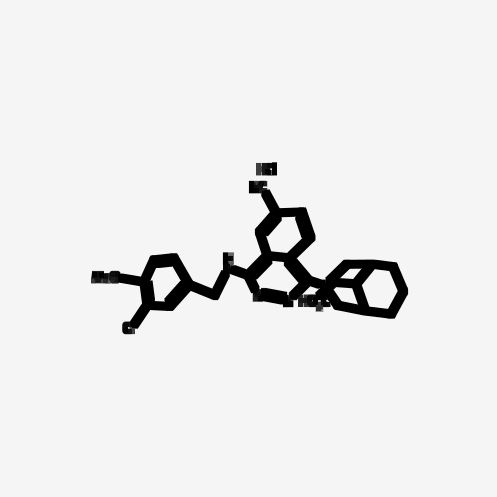 COc1ccc(CNc2nnc(N3CC4CCCC(C3)C4CC(=O)O)c3ccc(C#N)cc23)cc1Cl.Cl